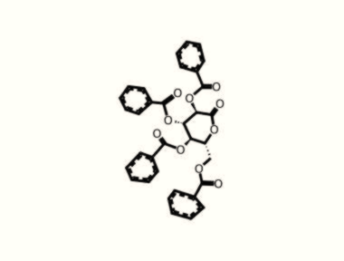 O=C(OC[C@H]1OC(=O)[C@H](OC(=O)c2ccccc2)[C@@H](OC(=O)c2ccccc2)[C@@H]1OC(=O)c1ccccc1)c1ccccc1